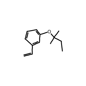 C=Cc1cccc(OC(C)(C)CC)c1